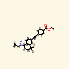 CCOC(=O)c1ccc(C#Cc2ccc3c(c2)C(C)(C)CCC3NCC2CC2)cc1